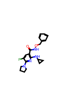 O=C(NOCc1ccccc1)c1cc(F)c(N2CCCC2)nc1NC1CC1